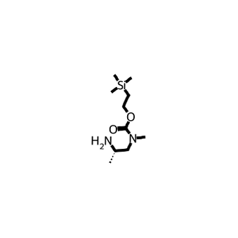 C[C@H](N)CN(C)C(=O)OCC[Si](C)(C)C